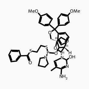 COc1ccc(C(OC[C@]23CO[C@@H](C2OP(SCCSC(=O)c2ccccc2)N2CCCC2)[C@H](N2C=C(C)C(N)=NC2O)O3)(c2ccccc2)c2ccc(OC)cc2)cc1